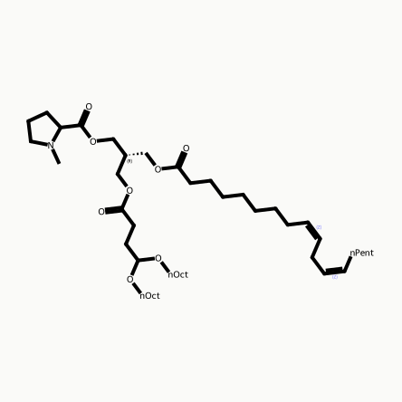 CCCCC/C=C\C/C=C\CCCCCCCC(=O)OC[C@H](COC(=O)CCC(OCCCCCCCC)OCCCCCCCC)COC(=O)C1CCCN1C